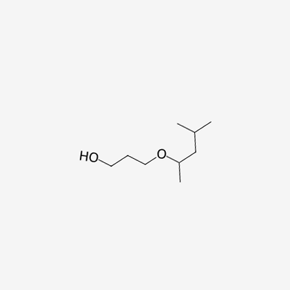 CC(C)CC(C)OCCCO